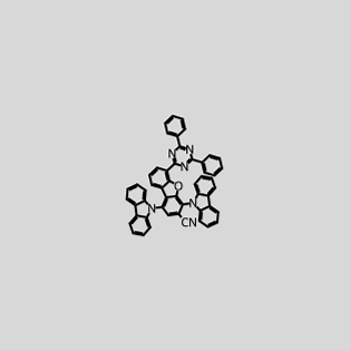 N#Cc1cc(-n2c3ccccc3c3ccccc32)c2c(oc3c(-c4nc(-c5ccccc5)nc(-c5ccccc5)n4)cccc32)c1-n1c2ccccc2c2ccccc21